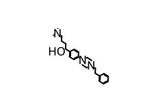 CN(C)CCCC(O)c1ccc(N2CCN(CCc3ccccc3)CC2)cc1